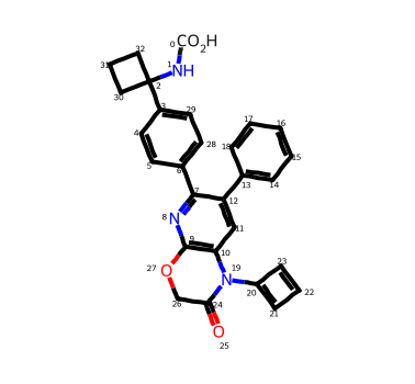 O=C(O)NC1(c2ccc(-c3nc4c(cc3-c3ccccc3)N(C3=CC=C3)C(=O)CO4)cc2)CCC1